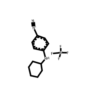 F[B-](F)(F)F.N#[N+]c1ccc(NC2CCCCC2)cc1